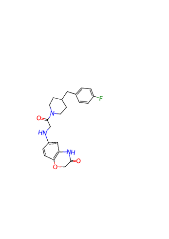 O=C1COc2ccc(NCC(=O)N3CCC(Cc4ccc(F)cc4)CC3)cc2N1